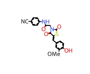 COc1cc(/C=C2\SC(=O)N(CC(=O)Nc3ccc(C#N)cc3)C2=O)ccc1O